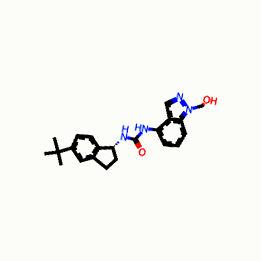 CC(C)(C)c1ccc2c(c1)CC[C@H]2NC(=O)Nc1cccc2c1cnn2CO